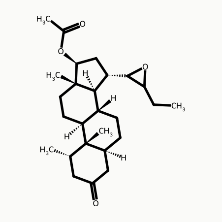 CCC1OC1[C@H]1C[C@H](OC(C)=O)[C@@]2(C)CC[C@H]3[C@@H](CC[C@H]4CC(=O)C[C@H](C)[C@@]43C)[C@H]12